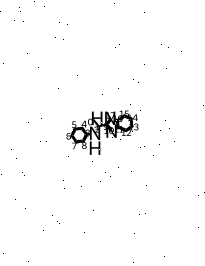 CC(Nc1ccccc1)c1nc2ccccc2[nH]1